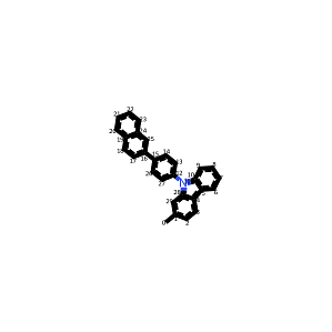 Cc1ccc2c3ccccc3n(-c3ccc(-c4ccc5ccccc5c4)cc3)c2c1